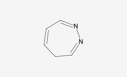 C1=CCC=NN=C1